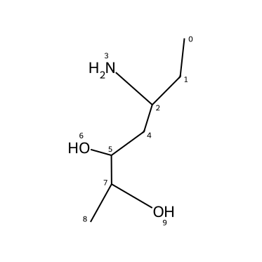 CCC(N)CC(O)C(C)O